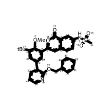 COc1c(-c2cc3ccc(NS(C)(=O)=O)cc3c(=O)o2)cc(-c2cccnc2OCc2ccccc2)cc1C(C)(C)C